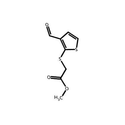 COC(=O)CSc1sccc1C=O